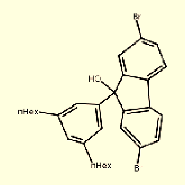 CCCCCCc1cc(CCCCCC)cc(C2(O)c3cc(Br)ccc3-c3ccc(Br)cc32)c1